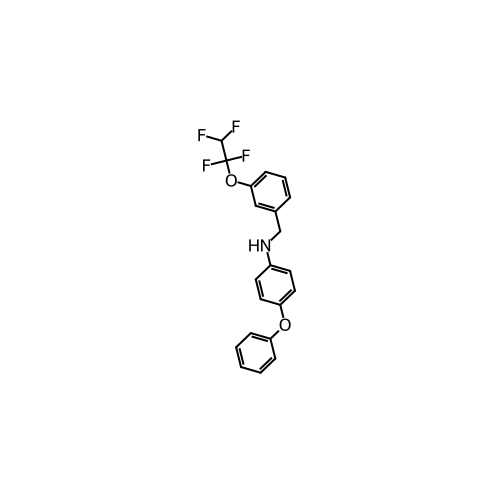 FC(F)C(F)(F)Oc1cccc(CNc2ccc(Oc3ccccc3)cc2)c1